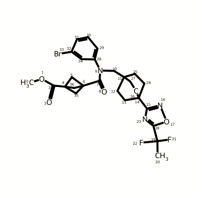 COC(=O)C12CC(C(=O)N(CC34CCC(c5noc(C(C)(F)F)n5)(CC3)CC4)c3cccc(Br)c3)(C1)C2